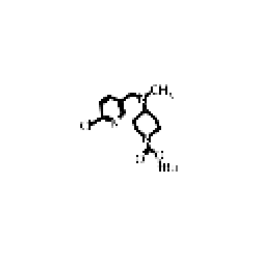 CN(Cc1ccc(Cl)nc1)C1CCN(C(=O)OC(C)(C)C)CC1